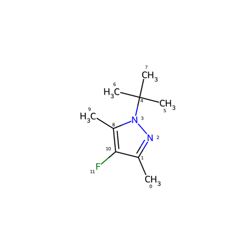 Cc1nn(C(C)(C)C)c(C)c1F